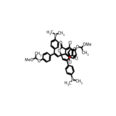 COC(C)Oc1ccc(C(=CC2(C=C(c3ccc(OC(C)OC)cc3)c3ccc(N(C)C)cc3)OC(=O)c3c(Cl)c(Cl)c(Cl)c(Cl)c32)c2ccc(N(C)C)cc2)cc1